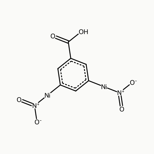 O=C(O)c1c[c]([Ni][N+](=O)[O-])c[c]([Ni][N+](=O)[O-])c1